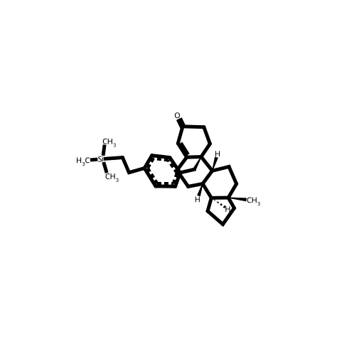 C[C@@]12CCC[C@H]1[C@@H]1CCC3=CC(=O)CC[C@]3(Cc3ccc(CC[Si](C)(C)C)cc3)[C@@H]1CC2